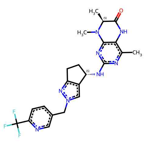 Cc1nc(N[C@H]2CCc3nn(Cc4ccc(C(F)(F)F)nc4)cc32)nc2c1NC(=O)[C@H](C)N2C